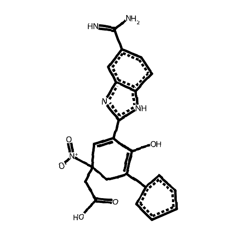 N=C(N)c1ccc2[nH]c(C3=CC(CC(=O)O)([N+](=O)[O-])CC(c4ccccc4)=C3O)nc2c1